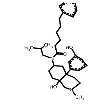 CC(C)CN(C(=O)CCCCCc1ccccc1)C1CCC2(O)CN(C)CCC2(c2cccc(O)c2)C1